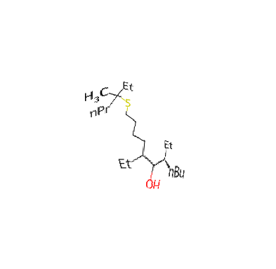 CCCC[C@H](CC)C(O)C(CC)CCCCSC(C)(CC)CCC